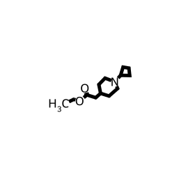 CCOC(=O)CC1CCN(C2CCC2)CC1